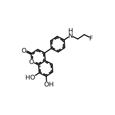 O=c1cc(-c2ccc(NCCF)cc2)c2ccc(O)c(O)c2o1